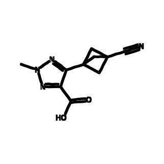 Cn1nc(C(=O)O)c(C23CC(C#N)(C2)C3)n1